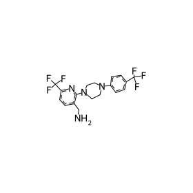 NCc1ccc(C(F)(F)F)nc1N1CCN(c2ccc(C(F)(F)F)cc2)CC1